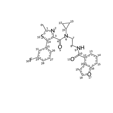 Cc1nc(C(=O)N(CCNC(=O)c2cccc3occc23)C2CC2)c(-c2cccc(F)c2)s1